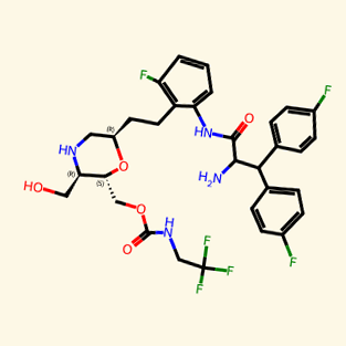 NC(C(=O)Nc1cccc(F)c1CC[C@@H]1CN[C@H](CO)[C@@H](COC(=O)NCC(F)(F)F)O1)C(c1ccc(F)cc1)c1ccc(F)cc1